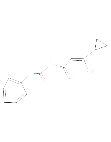 N=C(/C=C(\O)C1CC1)NC(=O)Oc1ccccc1